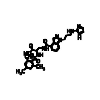 Cc1cc(C)c(S(=O)(=O)NC(CNC(=O)c2cccc3c2cnn3CCCNc2ncc[nH]2)C(=O)O)c(C)c1